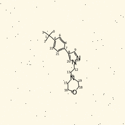 CC(C)(C)c1ccc(-c2cnn(CCN3CCOCC3)c2)cc1